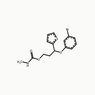 CNC(=O)OCCC(Oc1cccc(Br)c1)c1cccs1